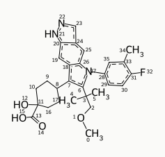 COCC(C)(C)c1c(C2CCC(O)(C(=O)O)CC2)c2cc3[nH]ncc3cc2n1-c1ccc(F)c(C)c1